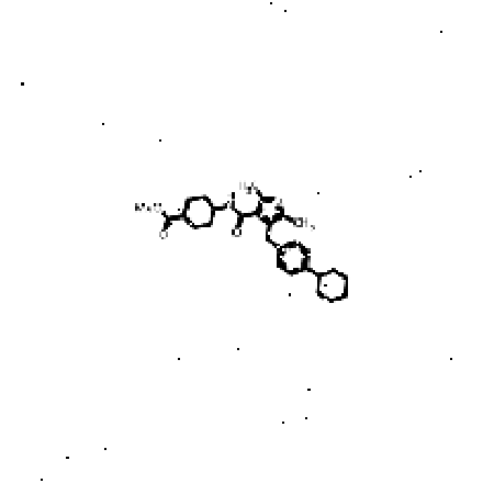 COC(=O)C1CCC(NC(=O)c2c(C)sc(C)c2Cc2ccc(C3CCCCC3)cc2)CC1